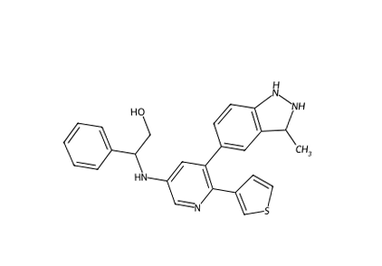 CC1NNc2ccc(-c3cc(NC(CO)c4ccccc4)cnc3-c3ccsc3)cc21